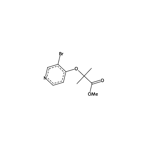 COC(=O)C(C)(C)Oc1ccncc1Br